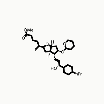 CCCC1CCC([C@H](O)/C=C/[C@@H]2[C@H]3CC(C(I)CCCC(=O)OC)O[C@@H]3C[C@H]2OC2CCCCO2)CC1